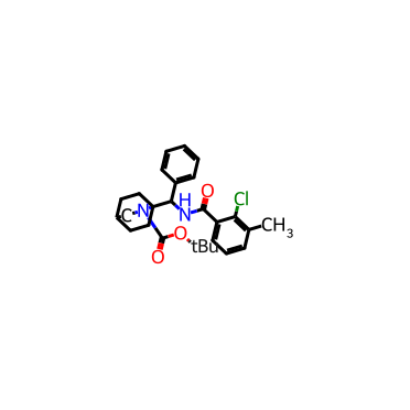 Cc1cccc(C(=O)NC(c2ccccc2)C23CCC(CC2)CN3C(=O)OC(C)(C)C)c1Cl